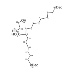 CCCCCCCCCCCCCCCCCCC(CCCCCCCCCCCCCCCC)C(=O)O.OCCO